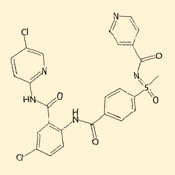 CS(=O)(=NC(=O)c1ccncc1)c1ccc(C(=O)Nc2ccc(Cl)cc2C(=O)Nc2ccc(Cl)cn2)cc1